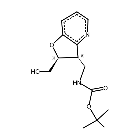 CC(C)(C)OC(=O)NC[C@H]1c2ncccc2O[C@@H]1CO